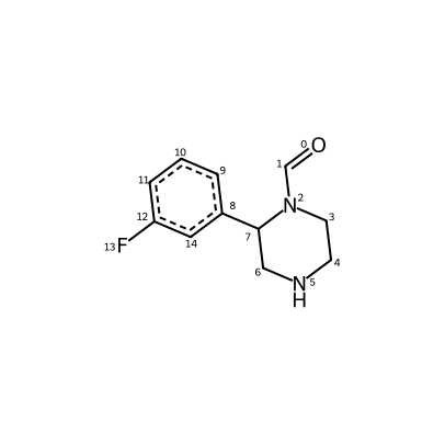 O=CN1CCNCC1c1cccc(F)c1